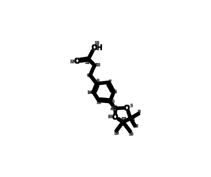 CC1(C)OB(c2ccc(CCC(=O)O)cc2)OC1(C)C